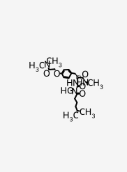 CNC(=O)[C@H](Cc1ccc(OCC(=O)N(C)C)cc1)NC(=O)N(O)C(=O)CCCC(C)C